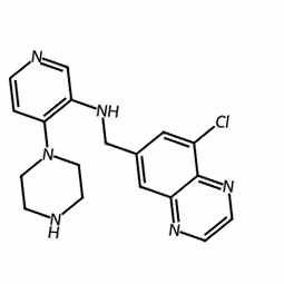 Clc1cc(CNc2cnccc2N2CCNCC2)cc2nccnc12